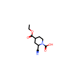 CCOC(=O)C1CCN(C(=O)O)C(C#N)C1